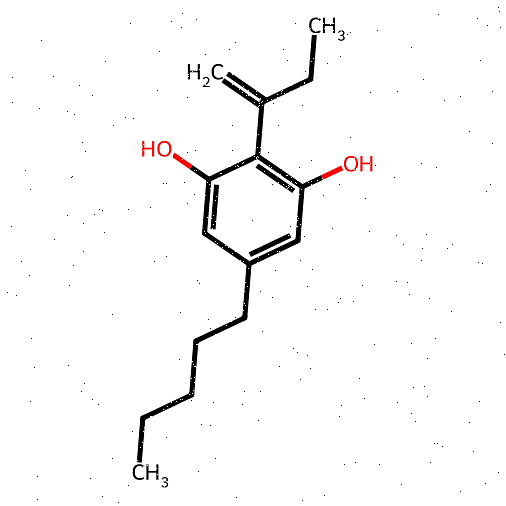 C=C(CC)c1c(O)cc(CCCCC)cc1O